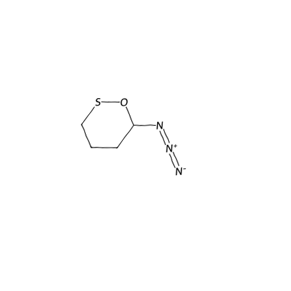 [N-]=[N+]=NC1CCCSO1